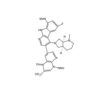 CNc1cc(F)cc2c1[nH]c1ncc(-c3cnc4c(c3)c(=O)c(C(=O)O)cn4NC)c(N3C[C@@H]4CCCN(C)[C@@H]4C3)c12